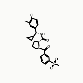 CS(=O)(=O)c1cccc(C(=O)N2CCC[C@@H]2C(=O)N[C@@H](c2ccc(Cl)c(F)c2)C2CC2)c1